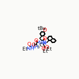 CCNC(=O)NOCC(=O)NC(Cc1ccc(OC(C)(C)C)cc1)C(=O)N(Cc1cccc2ccccc12)C(C)C(OCC)OCC